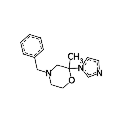 CC1(n2ccnc2)CN(Cc2ccccc2)CCO1